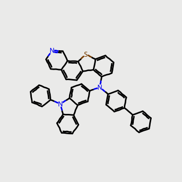 c1ccc(-c2ccc(N(c3ccc4c(c3)c3ccccc3n4-c3ccccc3)c3cccc4sc5c6cnccc6ccc5c34)cc2)cc1